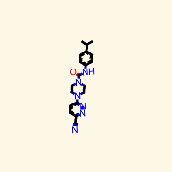 CC(C)c1ccc(NC(=O)N2CCN(c3ccc(C#N)nn3)CC2)cc1